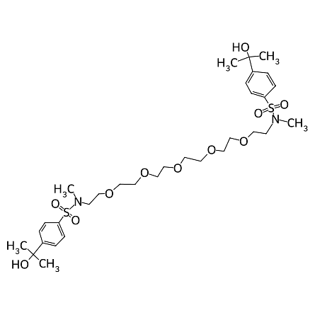 CN(CCOCCOCCOCCOCCOCCN(C)S(=O)(=O)c1ccc(C(C)(C)O)cc1)S(=O)(=O)c1ccc(C(C)(C)O)cc1